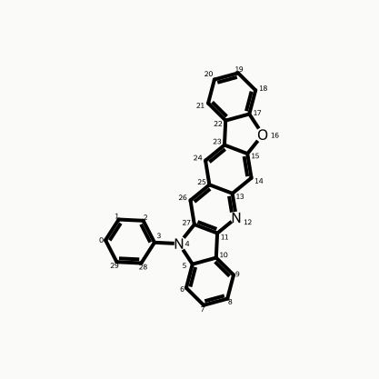 c1ccc(-n2c3ccccc3c3nc4cc5oc6ccccc6c5cc4cc32)cc1